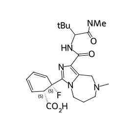 CNC(=O)C(NC(=O)c1nc([C@]2(F)C=CC=C[C@H]2C(=O)O)n2c1CN(C)CCC2)C(C)(C)C